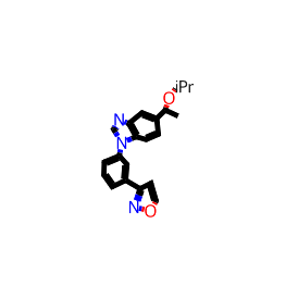 CC(C)OC(C)c1ccc2c(c1)ncn2-c1cccc(-c2ccon2)c1